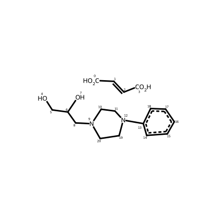 O=C(O)/C=C/C(=O)O.OCC(O)CN1CCN(c2ccccc2)CC1